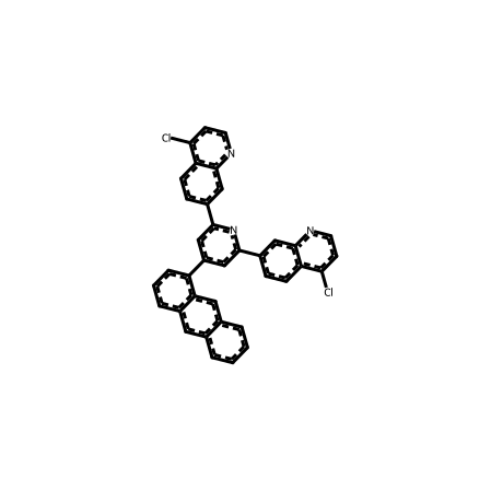 Clc1ccnc2cc(-c3cc(-c4cccc5cc6ccccc6cc45)cc(-c4ccc5c(Cl)ccnc5c4)n3)ccc12